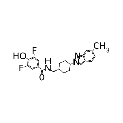 Cc1ccc2cn([C@H]3CC[C@H](CNC(=O)c4cc(F)c(O)c(F)c4)CC3)nc2c1